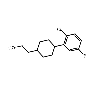 OCCC1CCC(c2cc(F)ccc2Cl)CC1